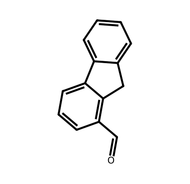 O=Cc1cccc2c1Cc1ccccc1-2